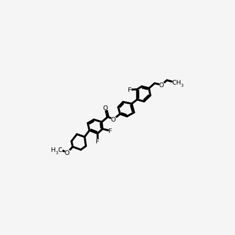 CCOCc1ccc(-c2ccc(OC(=O)c3ccc(C4CCC(OC)CC4)c(F)c3F)cc2)c(F)c1